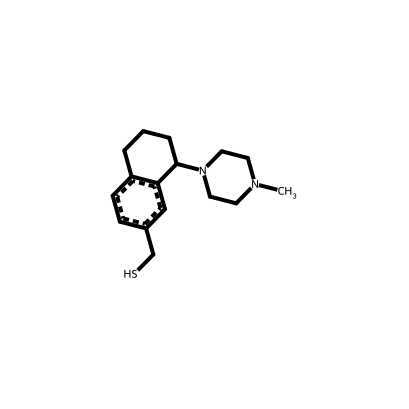 CN1CCN(C2CCCc3ccc(CS)cc32)CC1